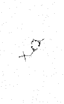 Cc1cnc(CC(C)(C)C(F)(F)F)o1